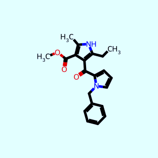 CCc1[nH]c(C)c(C(=O)OC)c1C(=O)c1cccn1Cc1ccccc1